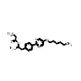 CCCCCCOc1cnc(-c2ccc(CC(C)OC(=O)CC)cc2)nc1